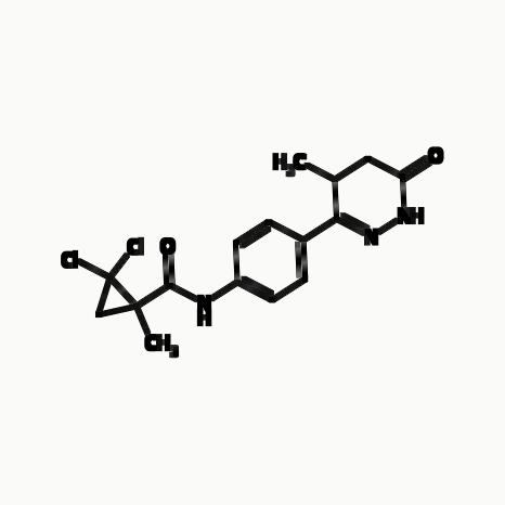 CC1CC(=O)NN=C1c1ccc(NC(=O)C2(C)CC2(Cl)Cl)cc1